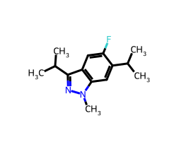 CC(C)c1cc2c(cc1F)c(C(C)C)nn2C